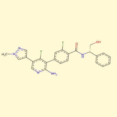 Cn1cc(-c2cnc(N)c(-c3ccc(C(=O)N[C@H](CO)c4ccccc4)c(F)c3)c2F)cn1